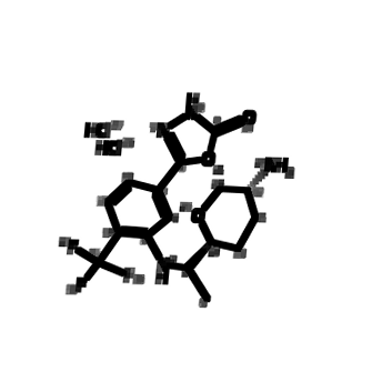 CC(Nc1cc(-c2n[nH]c(=O)o2)ccc1C(F)(F)F)[C@@H]1CC[C@@H](N)CO1.Cl.Cl